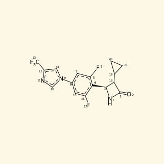 O=C1N[C@@H](c2c(F)cc(-n3cnc(C(F)(F)F)c3)cc2F)C1C1CC1